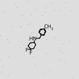 Cc1ccc(CNC2CCC(F)(F)CC2)cc1